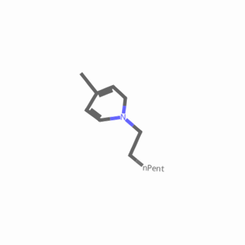 CCCCCCCN1C=CC(C)=CC1